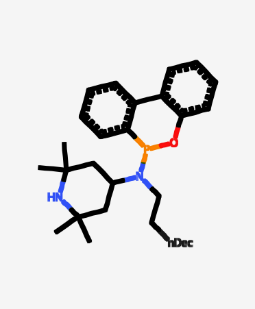 CCCCCCCCCCCCN(C1CC(C)(C)NC(C)(C)C1)P1Oc2ccccc2-c2ccccc21